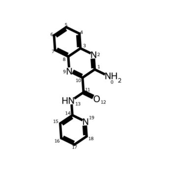 Nc1nc2ccccc2nc1C(=O)Nc1ccccn1